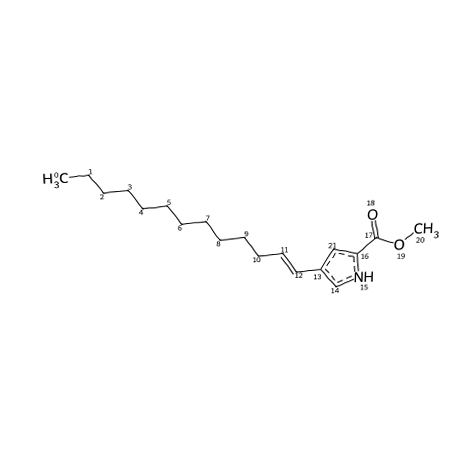 CCCCCCCCCCCC=Cc1c[nH]c(C(=O)OC)c1